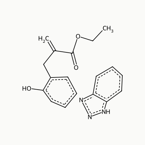 C=C(Cc1ccccc1O)C(=O)OCC.c1ccc2[nH]nnc2c1